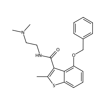 Cc1sc2cccc(OCc3ccccc3)c2c1C(=O)NCCN(C)C